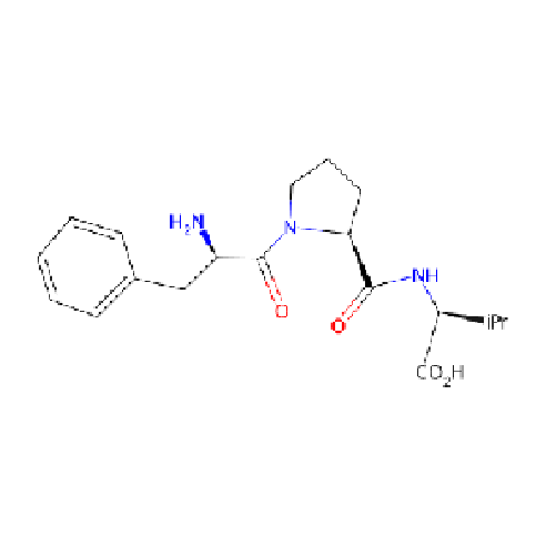 CC(C)[C@H](NC(=O)[C@@H]1CCCN1C(=O)[C@H](N)Cc1ccccc1)C(=O)O